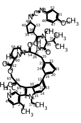 CCc1ccncc1-c1c2c3cc(ccc3n1CC)-c1cccc(c1)C[C@H](NC(=O)[C@H](C(C)C)N(C)C(=O)[C@H]1CC[C@H](N=C=Nc3ccc(OC)cc3)C1)C(=O)N1CCC[C@H](N1)C(=O)OCC(C)(C)C2